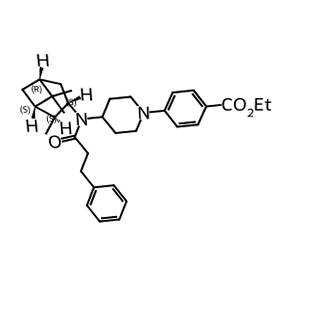 CCOC(=O)c1ccc(N2CCC(N(C(=O)CCc3ccccc3)[C@H]3C[C@H]4C[C@@H]([C@@H]3C)C4(C)C)CC2)cc1